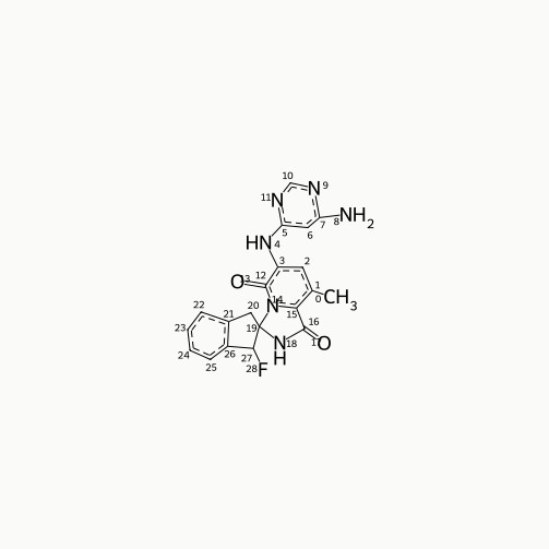 Cc1cc(Nc2cc(N)ncn2)c(=O)n2c1C(=O)NC21Cc2ccccc2C1F